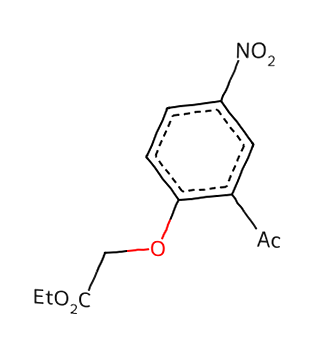 CCOC(=O)COc1ccc([N+](=O)[O-])cc1C(C)=O